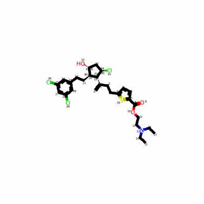 C=C(CCc1ccc(C(=O)OCCN(CC)CC)s1)[C@@H]1[C@@H](CCc2cc(Cl)cc(Cl)c2)[C@H](O)C[C@H]1Cl